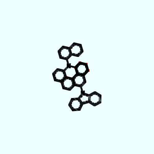 c1ccc(-c2ccccc2N(c2ccccc2-c2cc(-n3c4ccccc4c4ccccc43)cc3ccccc23)c2cccc3ccccc23)cc1